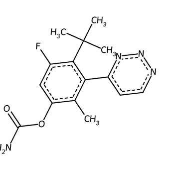 Cc1c(OC(N)=O)cc(F)c(C(C)(C)C)c1-c1ccnnn1